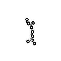 c1ccc(-c2nc(-c3ccccc3)nc(-c3ccc4c(c3)oc3cc(-c5ccc(N(c6ccccc6)c6ccc7sc8ccccc8c7c6)cc5)ccc34)n2)cc1